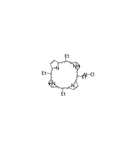 CCc1c2nc(c(CC)c3ccc([nH]3)c(CC)c3nc(c(CC)c4ccc1[nH]4)C=C3)C=C2.[Al][Cl]